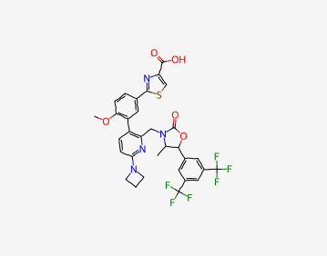 COc1ccc(-c2nc(C(=O)O)cs2)cc1-c1ccc(N2CCC2)nc1CN1C(=O)OC(c2cc(C(F)(F)F)cc(C(F)(F)F)c2)C1C